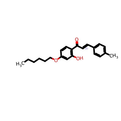 CCCCCCOc1ccc(C(=O)/C=C/c2ccc(C)cc2)c(O)c1